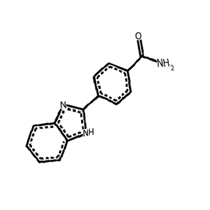 NC(=O)c1ccc(-c2nc3ccccc3[nH]2)cc1